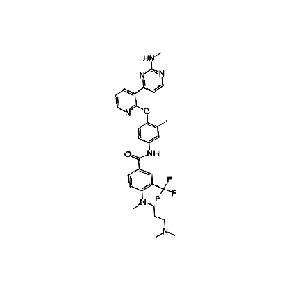 CNc1nccc(-c2cccnc2Oc2ccc(NC(=O)c3ccc(N(C)CCCN(C)C)c(C(F)(F)F)c3)cc2C)n1